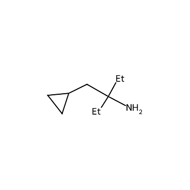 CCC(N)(CC)CC1CC1